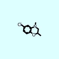 CC1CN(C)c2cc(Cl)ccc2O1